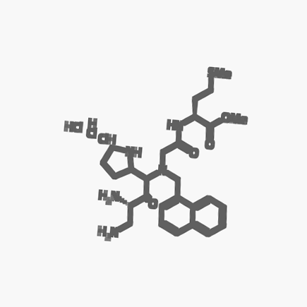 COC(=O)[C@H](CCSC)NC(=O)CN(Cc1cccc2ccccc12)C(C(=O)[C@@H](N)CN)C1CCCN1.Cl.Cl.Cl